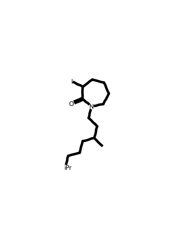 CC(C)CCCC(C)CCN1CCCCC(I)C1=O